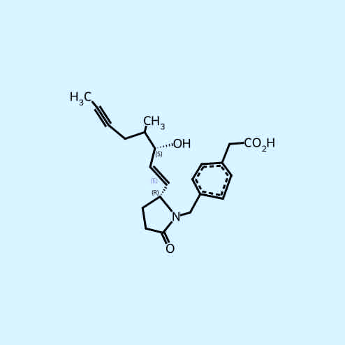 CC#CCC(C)[C@H](O)/C=C/[C@H]1CCC(=O)N1Cc1ccc(CC(=O)O)cc1